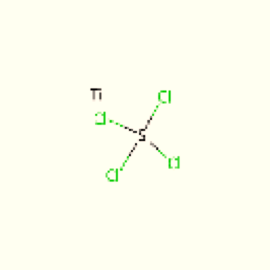 Cl[Si](Cl)(Cl)Cl.[Ti]